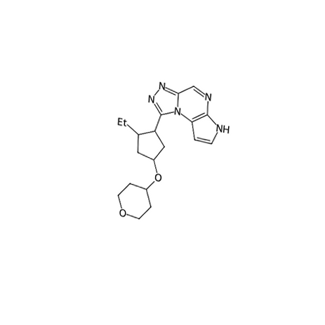 CCC1CC(OC2CCOCC2)CC1c1nnc2cnc3[nH]ccc3n12